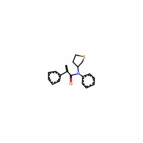 C=C(C(=O)N(c1ccccc1)C1CCSC1)c1ccccc1